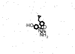 CN1C(=O)C(c2ccc(O)cc2)(c2cccc(CC3CC3)c2)N=C1N